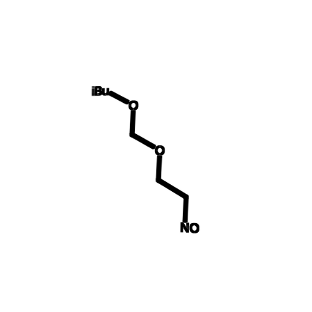 CCC(C)OCOCCN=O